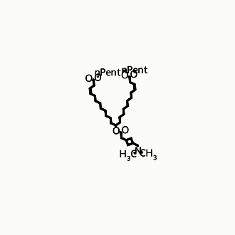 CCCCCOC(=O)C/C=C\CCCCCCCCC(CCCCCCCC/C=C\CC(=O)OCCCCC)OC(=O)CC1CC(CN(C)C)C1